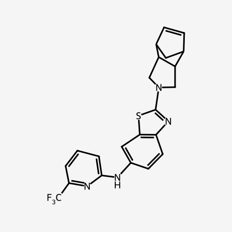 FC(F)(F)c1cccc(Nc2ccc3nc(N4CC5C6C=CC(C6)C5C4)sc3c2)n1